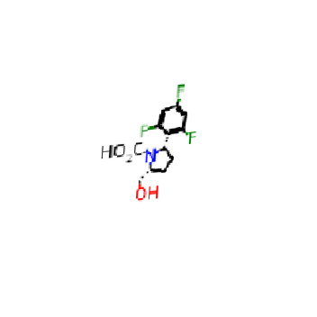 O=C(O)N1[C@@H](CO)CC[C@H]1c1c(F)cc(F)cc1F